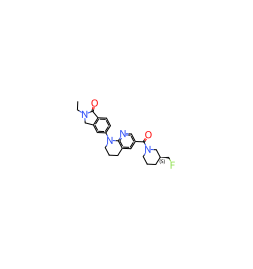 CCN1Cc2cc(N3CCCc4cc(C(=O)N5CCC[C@H](CF)C5)cnc43)ccc2C1=O